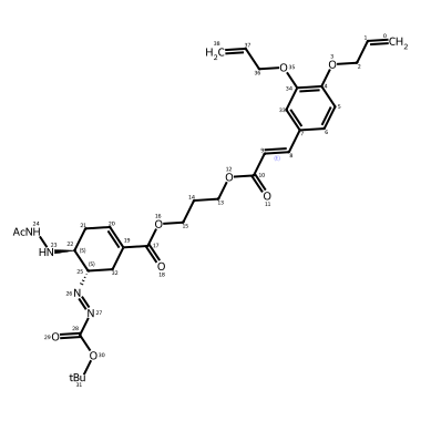 C=CCOc1ccc(/C=C/C(=O)OCCCOC(=O)C2=CC[C@H](NNC(C)=O)[C@@H](N=NC(=O)OC(C)(C)C)C2)cc1OCC=C